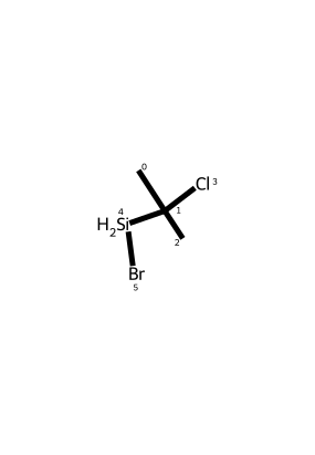 CC(C)(Cl)[SiH2]Br